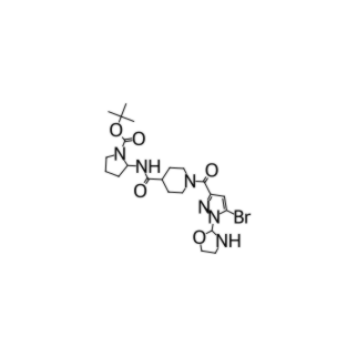 CC(C)(C)OC(=O)N1CCCC1NC(=O)C1CCN(C(=O)c2cc(Br)n(C3NCCO3)n2)CC1